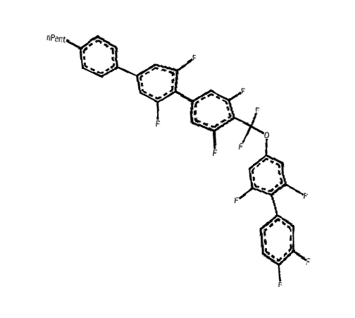 CCCCCc1ccc(-c2cc(F)c(-c3cc(F)c(C(F)(F)Oc4cc(F)c(-c5ccc(F)c(F)c5)c(F)c4)c(F)c3)c(F)c2)cc1